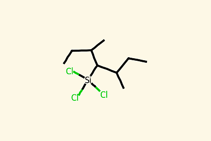 CCC(C)C(C(C)CC)[Si](Cl)(Cl)Cl